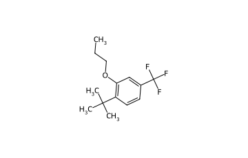 CCCOc1cc(C(F)(F)F)ccc1C(C)(C)C